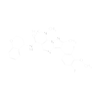 COc1c(F)ccc(-c2c(C)nn3c(N(C)C)c(C(=O)N[C@H]4CCOc5ccccc54)cnc23)c1F